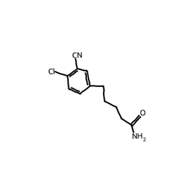 N#Cc1cc(CCCCC(N)=O)ccc1Cl